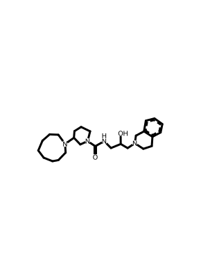 O=C(NCC(O)CN1CCc2ccccc2C1)N1CCCC(N2CCCCCCCC2)C1